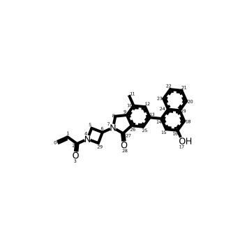 C=CC(=O)N1CC(N2Cc3c(C)cc(-c4cc(O)cc5ccccc45)cc3C2=O)C1